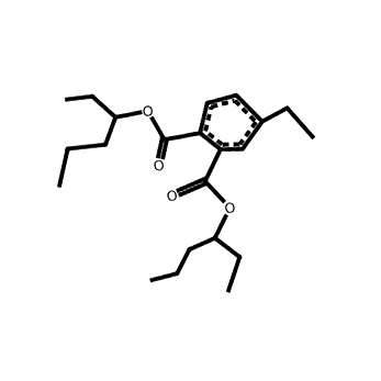 CCCC(CC)OC(=O)c1ccc(CC)cc1C(=O)OC(CC)CCC